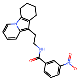 O=C(NCCc1c2c(n3ccccc13)CCCC2)c1cccc([N+](=O)[O-])c1